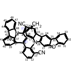 C=C/C(C#N)=C(\C=C(/CC#N)c1cccc(C#N)c1-n1c2ccccc2c2cc3c(cc21)oc1ccccc13)n1c2ccccc2c2ccccc21